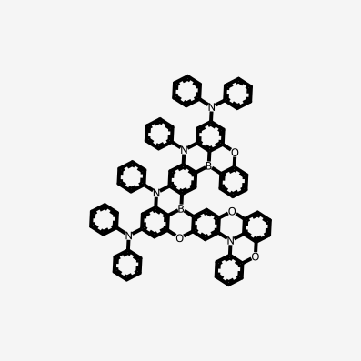 c1ccc(N(c2ccccc2)c2cc3c4c(c2)N(c2ccccc2)c2cc5c(cc2B4c2ccccc2O3)B2c3cc4c(cc3Oc3cc(N(c6ccccc6)c6ccccc6)cc(c32)N5c2ccccc2)N2c3ccccc3Oc3cccc(c32)O4)cc1